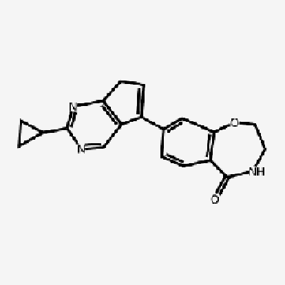 O=C1NCCOc2cc(C3=CCc4nc(C5CC5)ncc43)ccc21